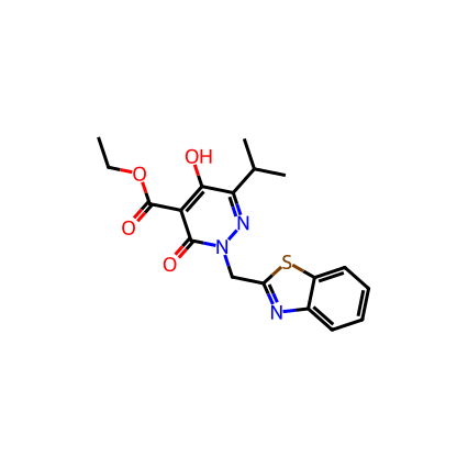 CCOC(=O)c1c(O)c(C(C)C)nn(Cc2nc3ccccc3s2)c1=O